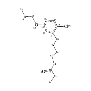 CCC(=O)CCCCCc1cc(OCSC)ccc1Cl